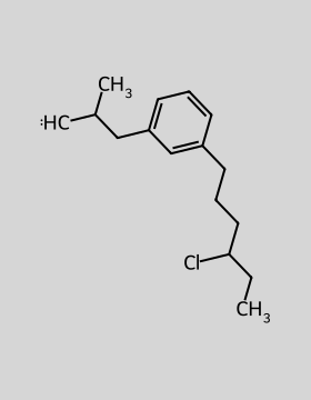 [CH]C(C)Cc1cccc(CCCC(Cl)CC)c1